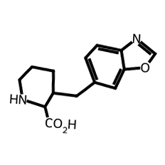 O=C(O)C1NCCCC1Cc1ccc2ncoc2c1